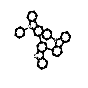 c1ccc(-n2c3ccccc3c3ccc(-c4cc(-c5cccc6c7ccccc7n(-c7ccccc7)c56)c5c(c4)sc4ccccc45)cc32)cc1